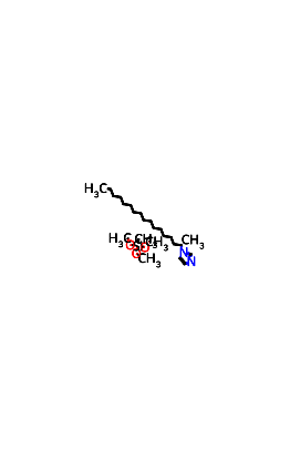 CCCCCCCCCCCCCCCC(C)n1ccnc1.CO[Si](C)(OC)OC